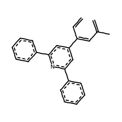 C=C/C(=C\C(=C)C)c1cc(-c2ccccc2)nc(-c2ccccc2)c1